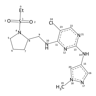 CCS(=O)(=O)N1CCCC1CNc1nc(Nc2cnn(C)c2)ncc1Cl